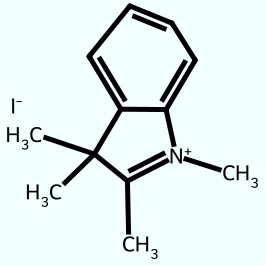 CC1=[N+](C)c2ccccc2C1(C)C.[I-]